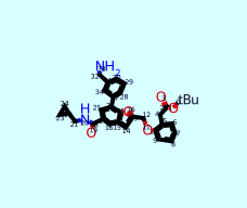 CC(C)(C)OC(=O)Cc1ccccc1OCc1cc2cc(C(=O)NCC3CC3)cc(-c3cccc(CN)c3)c2o1